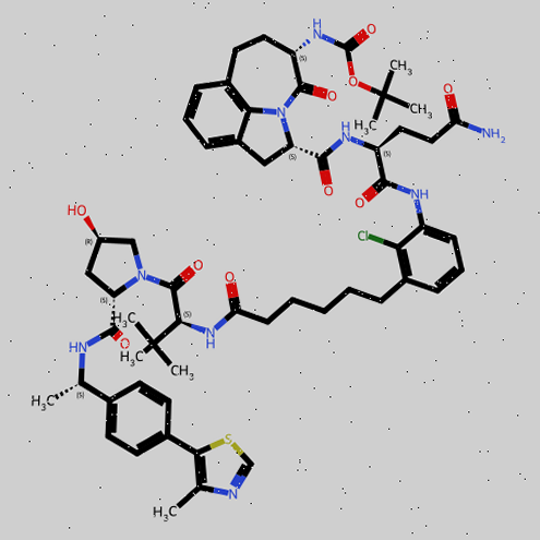 Cc1ncsc1-c1ccc([C@H](C)NC(=O)[C@@H]2C[C@@H](O)CN2C(=O)[C@@H](NC(=O)CCCCCc2cccc(NC(=O)[C@H](CCC(N)=O)NC(=O)[C@@H]3Cc4cccc5c4N3C(=O)[C@@H](NC(=O)OC(C)(C)C)CC5)c2Cl)C(C)(C)C)cc1